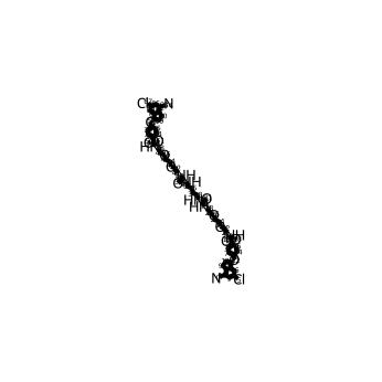 N#Cc1cc(Cl)cc2c1CC[C@H]2Oc1ccc(S(=O)(=O)NCCOCCOCCNC(=O)NCCCCNC(=O)NCCOCCOCCNS(=O)(=O)c2ccc(O[C@@H]3CCc4c(C#N)cc(Cl)cc43)cc2)cc1